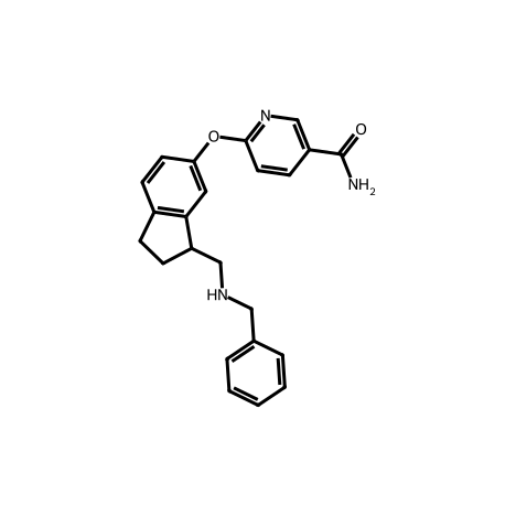 NC(=O)c1ccc(Oc2ccc3c(c2)C(CNCc2ccccc2)CC3)nc1